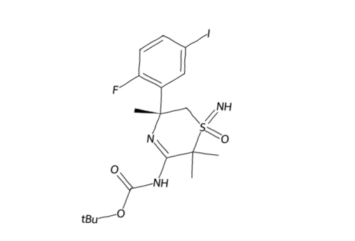 CC(C)(C)OC(=O)NC1=N[C@](C)(c2cc(I)ccc2F)CS(=N)(=O)C1(C)C